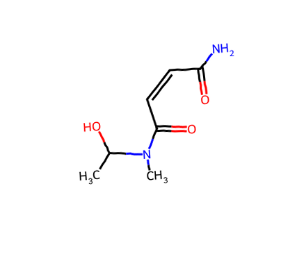 CC(O)N(C)C(=O)/C=C\C(N)=O